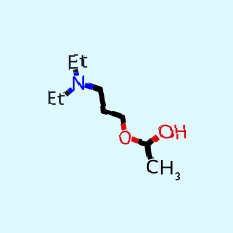 CCN(CC)CCCOC(C)O